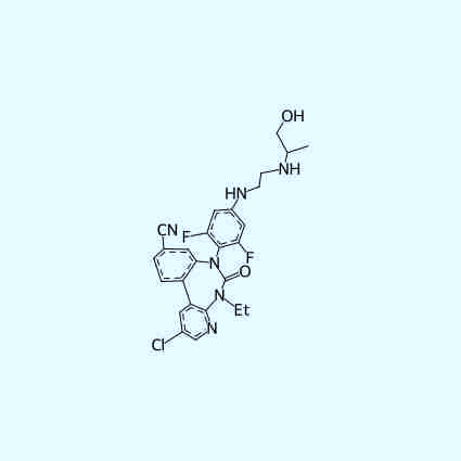 CCN1C(=O)N(c2c(F)cc(NCCNC(C)CO)cc2F)c2cc(C#N)ccc2-c2cc(Cl)cnc21